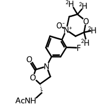 [2H]C1([2H])C[N+]([O-])(c2ccc(N3C[C@H](CNC(C)=O)OC3=O)cc2F)CC([2H])([2H])O1